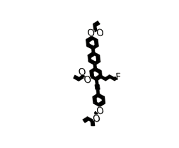 C=CC(=C)OCOc1ccc(C#Cc2c(CCCF)cc(-c3ccc(-c4ccc(OC(=O)C=C)cc4)cc3)cc2OC(=O)C=C)cc1